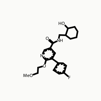 COCCOc1ncc(C(=O)NCC2CCCCC2O)cc1-c1ccc(F)cc1